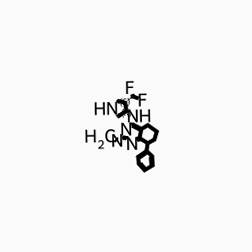 C=Nc1nc(N[C@H]2CNC[C@@H]2C(F)F)c2c(n1)C(c1ccccc1)CCC2